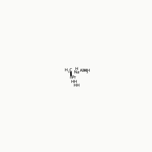 CCCC.[AlH3].[HH].[HH].[HH].[NaH]